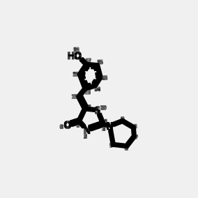 O=C1N=C(N2CCCCC2)SC1=Cc1cccc(O)c1